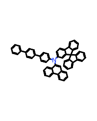 c1ccc(-c2ccc(-c3ccc(N(c4ccc5c(c4)C4(c6ccccc6-c6ccccc64)c4ccccc4-5)c4cc5ccccc5c5ccccc45)cc3)cc2)cc1